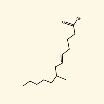 CCCCCC(C)CC=CCCCC(=O)O